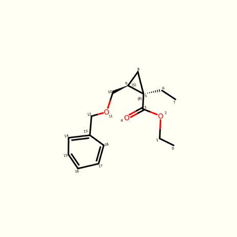 CCOC(=O)[C@]1(CC)C[C@@H]1COCc1ccccc1